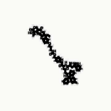 CCc1c2c(nc3ccc(OCCCNC(=O)OCc4ccc(NC(=O)[C@H](CCCCNC(c5ccccc5)(c5ccccc5)c5ccc(C)cc5)NC(=O)[C@@H](N)Cc5c[nH]c6ccccc56)cc4)cc13)-c1cc3c(c(=O)n1C2)COC(=O)[C@]3(O)CC